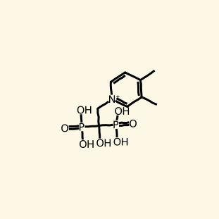 Cc1cc[n+](CC(O)(P(=O)(O)O)P(=O)(O)O)cc1C